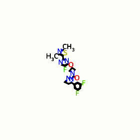 Cc1nc(C)c(-c2ncc(F)c(OC3CN(C(=O)N4N=CCC4c4cc(F)cc(F)c4)C3)n2)s1